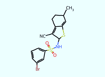 CC1C=C2SC(NS(=O)(=O)c3cccc(Br)c3)C(C#N)=C2CC1